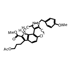 COC(=O)c1c(CCCOC(C)=O)c2ccc(Cl)c(-c3c(C)nn(Cc4ccc(OC)cc4)c3CI)c2n1C